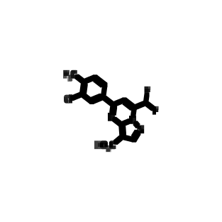 O=C(O)c1cnn2c(C(F)F)cc(-c3ccc(C(F)(F)F)c(Cl)c3)nc12